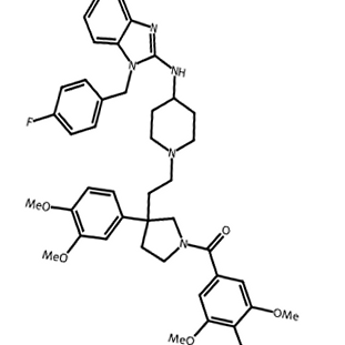 COc1ccc(C2(CCN3CCC(Nc4nc5ccccc5n4Cc4ccc(F)cc4)CC3)CCN(C(=O)c3cc(OC)c(OC)c(OC)c3)C2)cc1OC